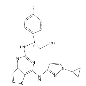 OC[C@H](Nc1nc(Nc2ccn(C3CC3)n2)c2sccc2n1)c1ccc(F)cc1